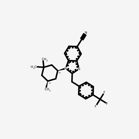 C[C@@H]1C[C@H](n2c(Cc3ccc(C(F)(F)F)cc3)nc3cc(C#N)ccc32)CC(C)(C)C1